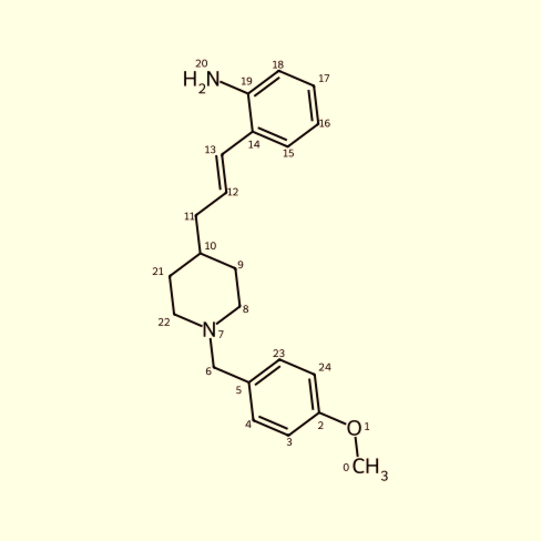 COc1ccc(CN2CCC(C/C=C/c3ccccc3N)CC2)cc1